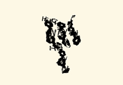 Cc1ccc(-c2cn3ccc(N4CCOCC4)cc3n2)cc1.Cc1cccc(-c2cn3ccc(N4CCOCC4)cc3n2)c1.FC1CCN(c2ccn3cc(-c4ccccc4)nc3c2)C1.Oc1ccc(-c2cn3ccc(N4CCC4)cc3n2)cc1